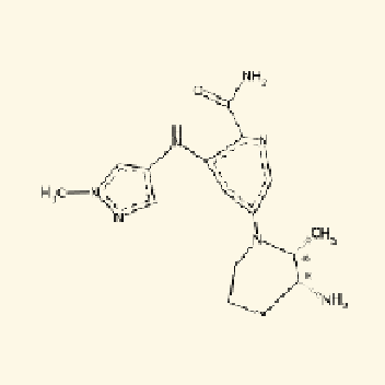 C[C@@H]1[C@H](N)CCCN1c1cnc(C(N)=O)c(Nc2cnn(C)c2)c1